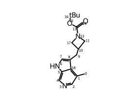 Cc1cncc2[nH]cc(CC3CN(C(=O)OC(C)(C)C)C3)c12